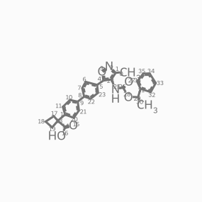 Cc1noc(-c2ccc(-c3ccc(C4(C(=O)O)CCC4)cc3)cc2)c1NC(=O)OC(C)c1ccccc1